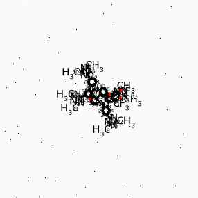 Cc1nc(C)nc(-c2ccc3c(c2)c2cc(-c4nc(C)nc(C)n4)ccc2n3-c2ccc(C#N)cc2-c2cc(-c3cc(C(F)(F)F)cc(C(F)(F)F)c3)ccc2-n2c3ccc(-c4nc(C)nc(C)n4)cc3c3cc(-c4nc(C)nc(C)n4)ccc32)n1